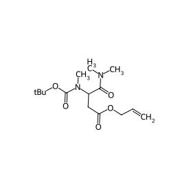 C=CCOC(=O)CC(C(=O)N(C)C)N(C)C(=O)OC(C)(C)C